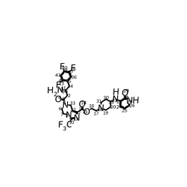 N[C@@H](CC(=O)N1CCn2c(C(F)(F)F)nc(C(=O)OCCN3CCC(Nc4ccc[nH]c4=O)CC3)c2C1)Cc1cc(F)c(F)cc1F